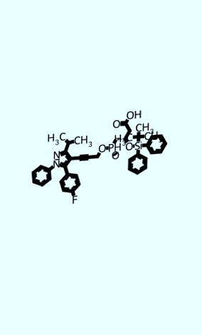 CC(C)c1nn(-c2ccccc2)c(-c2ccc(F)cc2)c1C#CCO[PH](=O)C[C@H](CC(=O)O)O[Si](c1ccccc1)(c1ccccc1)C(C)(C)C